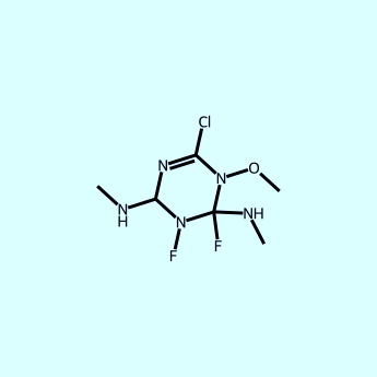 CNC1N=C(Cl)N(OC)C(F)(NC)N1F